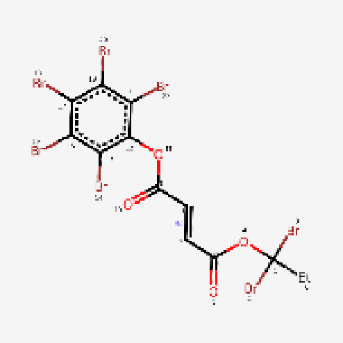 CCC(Br)(Br)OC(=O)/C=C/C(=O)Oc1c(Br)c(Br)c(Br)c(Br)c1Br